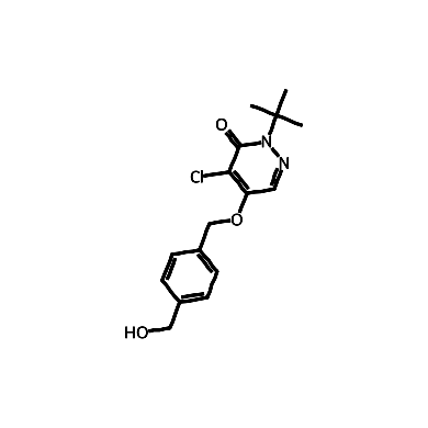 CC(C)(C)n1ncc(OCc2ccc(CO)cc2)c(Cl)c1=O